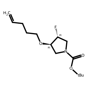 C=CCCCO[C@@H]1CN(C(=O)OC(C)(C)C)C[C@H]1F